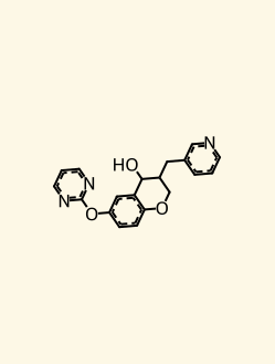 OC1c2cc(Oc3ncccn3)ccc2OCC1Cc1cccnc1